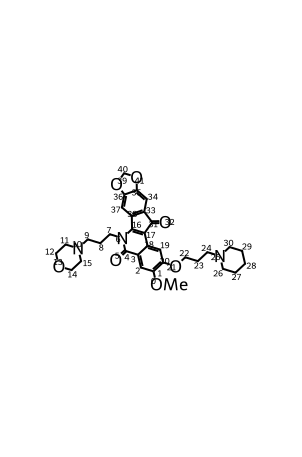 COc1cc2c(=O)n(CCCN3CCOCC3)c3c(c2cc1OCCCN1CCCCC1)C(=O)c1cc2c(cc1-3)OCO2